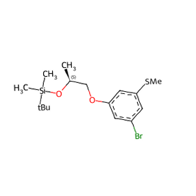 CSc1cc(Br)cc(OC[C@H](C)O[Si](C)(C)C(C)(C)C)c1